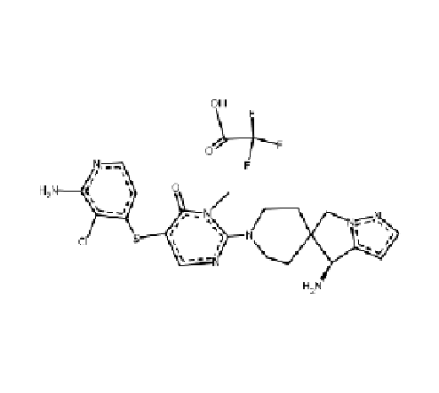 Cn1c(N2CCC3(CC2)Cn2nccc2[C@H]3N)ncc(Sc2ccnc(N)c2Cl)c1=O.O=C(O)C(F)(F)F